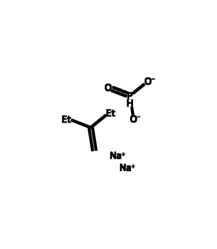 C=C(CC)CC.O=[PH]([O-])[O-].[Na+].[Na+]